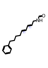 O=CNC/C=C/C=C/CCCCc1ccccc1